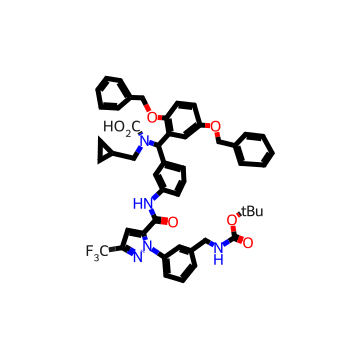 CC(C)(C)OC(=O)NCc1cccc(-n2nc(C(F)(F)F)cc2C(=O)Nc2cccc(C(c3cc(OCc4ccccc4)ccc3OCc3ccccc3)N(CC3CC3)C(=O)O)c2)c1